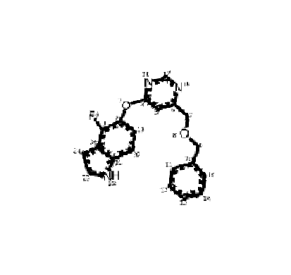 Fc1c(Oc2cc(COCc3ccccc3)ncn2)ccc2[nH]ccc12